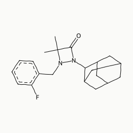 CC1(C)C(=O)N(C2C3CC4CC(C3)CC2C4)N1Cc1ccccc1F